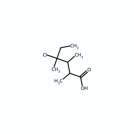 CCC(C)(Cl)C(C)C(C)C(=O)O